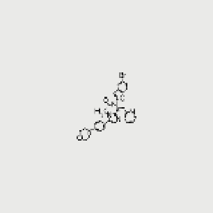 Cn1c(-c2ccc(N3CCOCC3)cc2)cnc1[C@H](Cc1ccccn1)N(C=O)c1cc2cc(Br)ccc2o1